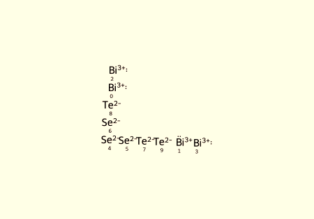 [Bi+3].[Bi+3].[Bi+3].[Bi+3].[Se-2].[Se-2].[Se-2].[Te-2].[Te-2].[Te-2]